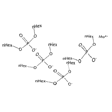 CCCCCCOP(=O)([O-])OCCCCCC.CCCCCCOP(=O)([O-])OCCCCCC.CCCCCCOP(=O)([O-])OCCCCCC.CCCCCCOP(=O)([O-])OCCCCCC.[Mo+4]